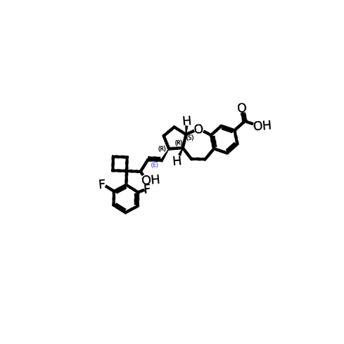 O=C(O)c1ccc2c(c1)O[C@H]1CC[C@H](/C=C/C(O)C3(c4c(F)cccc4F)CCC3)[C@H]1CC2